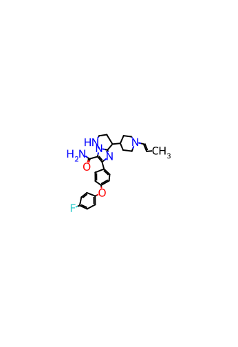 CC=CN1CCC(C2CCNn3c2nc(-c2ccc(Oc4ccc(F)cc4)cc2)c3C(N)=O)CC1